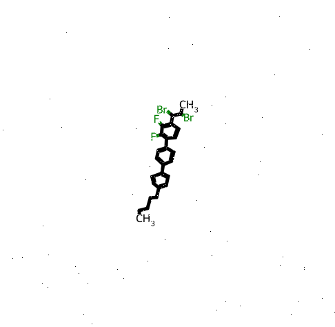 CCCCCc1ccc(-c2ccc(-c3ccc(C(Br)C(C)Br)c(F)c3F)cc2)cc1